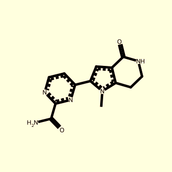 Cn1c(-c2ccnc(C(N)=O)n2)cc2c1CCNC2=O